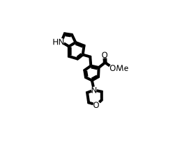 COC(=O)c1cc(N2CCOCC2)ccc1Cc1ccc2[nH]ccc2c1